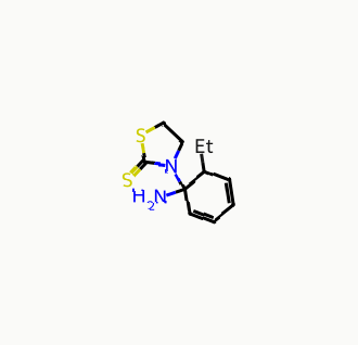 CCC1C=CC=CC1(N)N1CCSC1=S